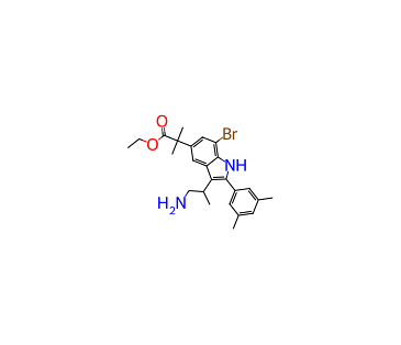 CCOC(=O)C(C)(C)c1cc(Br)c2[nH]c(-c3cc(C)cc(C)c3)c(C(C)CN)c2c1